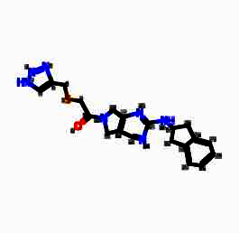 O=C(CSCc1c[nH]nn1)N1Cc2cnc(NC3Cc4ccccc4C3)nc2C1